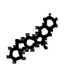 Cn1c2cc3ccccc3cc2c2cc3sc4ccccc4c3cc21